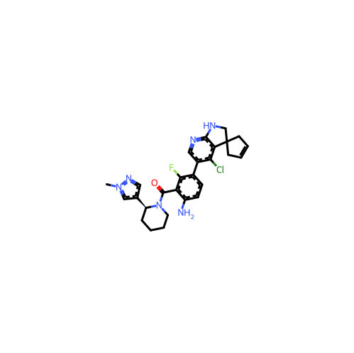 Cn1cc([C@@H]2CCCCN2C(=O)c2c(N)ccc(-c3cnc4c(c3Cl)C3(CC=CC3)CN4)c2F)cn1